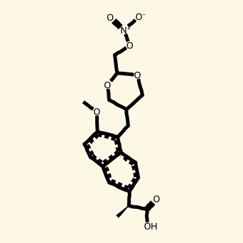 COc1ccc2cc([C@H](C)C(=O)O)ccc2c1CC1COC(CO[N+](=O)[O-])OC1